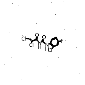 O=C(NC(=O)C(Cl)CCl)Nc1ccc(F)cc1Cl